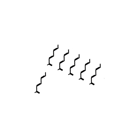 C/C=C/C=C/C(=O)[O-].C/C=C/C=C/C(=O)[O-].C/C=C/C=C/C(=O)[O-].C/C=C/C=C/C(=O)[O-].C/C=C/C=C/C(=O)[O-].C/C=C/C=C/C(=O)[O-].[U+6]